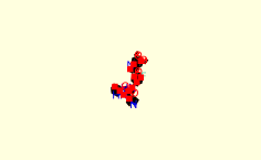 COc1cc2nccc(Oc3ccc(CNC(=O)c4c(-c5ccncc5)[nH]n(-c5ccccc5)c4=O)cc3F)c2cc1OC